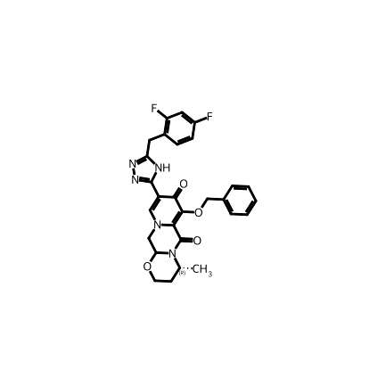 C[C@@H]1CCOC2Cn3cc(-c4nnc(Cc5ccc(F)cc5F)[nH]4)c(=O)c(OCc4ccccc4)c3C(=O)N21